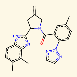 C=C1CC(c2nc3c(C)c(C)ccc3[nH]2)N(C(=O)c2cc(C)ccc2-n2nccn2)C1